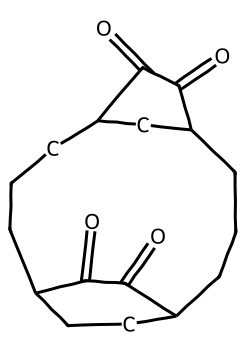 O=C1C(=O)C2CCCC3CC(CCCC1CC2)C(=O)C3=O